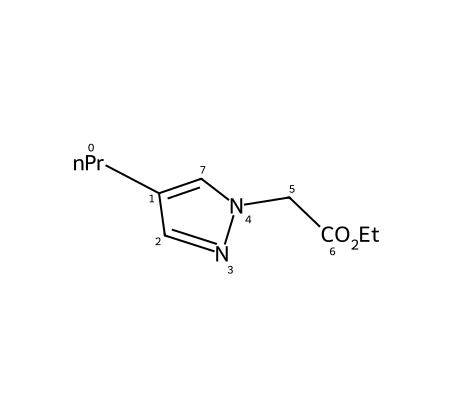 CCCc1cnn(CC(=O)OCC)c1